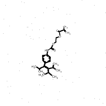 C=C(C)C(=O)OCCOC(=O)Nc1ccc(C(=C(C(C)C)C(C)C)C(C)C)cc1